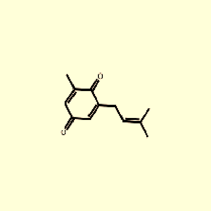 CC(C)=CCC1=CC(=O)C=C(C)C1=O